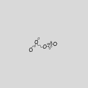 O=C(NS(=O)(=O)c1ccccc1)c1ccc(CCCc2cc(Cl)ccc2OCc2ccccc2)cc1